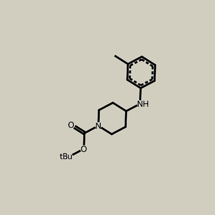 Cc1cccc(NC2CCN(C(=O)OC(C)(C)C)CC2)c1